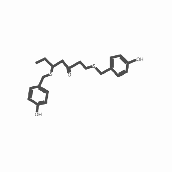 CCC(CC(=O)CCSCc1ccc(O)cc1)SCc1ccc(O)cc1